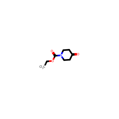 O=C1CCN(C(=O)OCC(Cl)(Cl)Cl)CC1